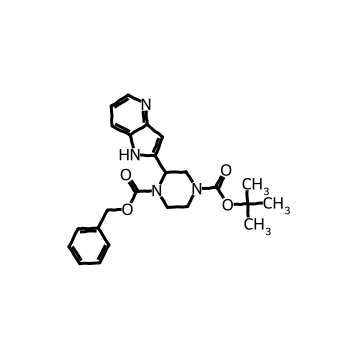 CC(C)(C)OC(=O)N1CCN(C(=O)OCc2ccccc2)C(c2cc3ncccc3[nH]2)C1